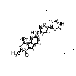 CC(C)C1CN(C)C(=O)c2cc3cnc(Nc4ccc(N5CCNCC5)cn4)nc3n21